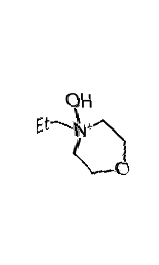 CC[N+]1(O)CCOCC1